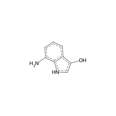 Nc1cccc2c(O)c[nH]c12